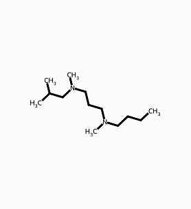 CCCCN(C)CCCN(C)CC(C)C